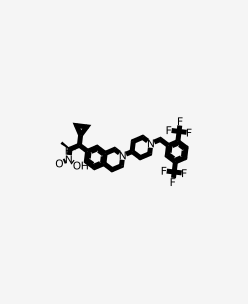 C[C@@H](C(c1ccc2c(c1)CN(C1CCN(Cc3cc(C(F)(F)F)ccc3C(F)(F)F)CC1)CC2)C1CC1)[NH+]([O-])O